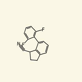 N#CC1CCc2cccc(-c3c(F)cccc3F)c21